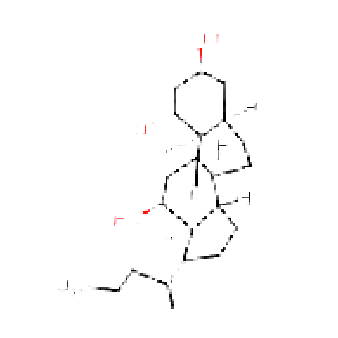 CC(CCC(=O)O)[C@H]1CC[C@H]2[C@@H]3CC[C@@H]4C[C@H](O)C[C@@H](O)[C@]4(C)[C@H]3C[C@H](O)[C@]12C